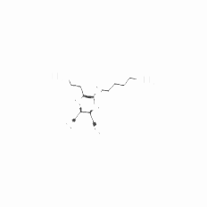 CCCCCNc1nc(C#N)c(C#N)nc1CCC